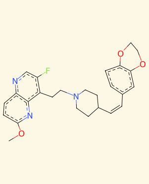 COc1ccc2ncc(F)c(CCN3CCC(/C=C\c4ccc5c(c4)OCCO5)CC3)c2n1